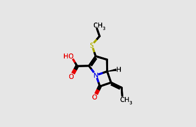 CC=C1C(=O)N2C(C(=O)O)=C(SCC)C[C@H]12